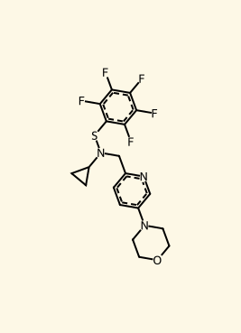 Fc1c(F)c(F)c(SN(Cc2ccc(N3CCOCC3)cn2)C2CC2)c(F)c1F